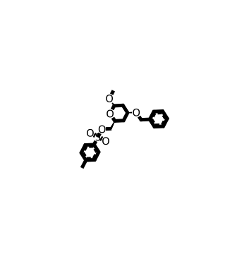 CO[C@@H]1C[C@H](OCc2ccccc2)C[C@@H](COS(=O)(=O)c2ccc(C)cc2)O1